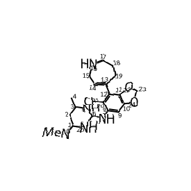 CNC1CC(C)NC(Nc2cc3c(c(C4=CCNCCC4)c2Cl)OCO3)N1